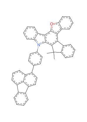 CC1(C)c2ccccc2-c2c1c1c(c3ccccc3n1-c1ccc(-c3ccc4c5c(cccc35)-c3ccccc3-4)cc1)c1oc3ccccc3c21